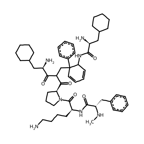 CN[C@@H](Cc1ccccc1)C(=O)N[C@@H](CCCCN)C(=O)N1CCC[C@H]1C(=O)C(CC1(c2ccccc2)C=CC=CC1NC(=O)[C@@H](N)CC1CCCCC1)C(=O)[C@H](N)CC1CCCCC1